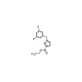 CCOC(=O)c1ccn(Cc2cc(F)cc(F)c2)n1